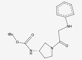 CC(C)(C)OC(=O)N[C@H]1CCN(C(=O)CNc2ccccc2)C1